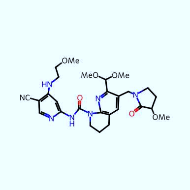 COCCNc1cc(NC(=O)N2CCCc3cc(CN4CCC(OC)C4=O)c(C(OC)OC)nc32)ncc1C#N